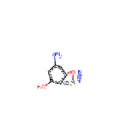 N#N.Nc1cccc(O)c1.O=S(=O)(O)O